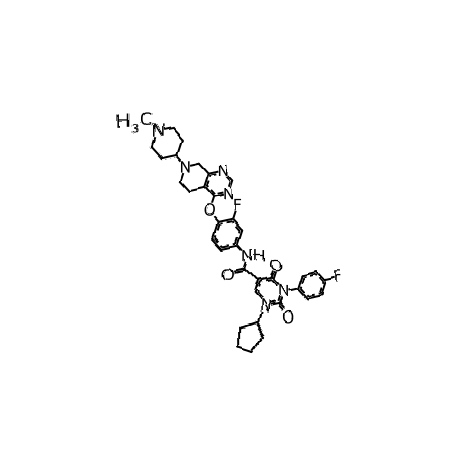 CN1CCC(N2CCc3c(ncnc3Oc3ccc(NC(=O)c4cn(C5CCCC5)c(=O)n(-c5ccc(F)cc5)c4=O)cc3F)C2)CC1